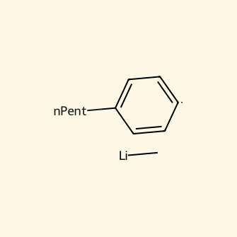 CCCCCc1cc[c]cc1.[Li][CH3]